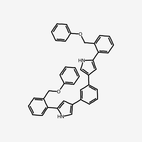 c1ccc(OCc2ccccc2-c2cc(-c3cccc(-c4c[nH]c(-c5ccccc5COc5ccccc5)c4)c3)c[nH]2)cc1